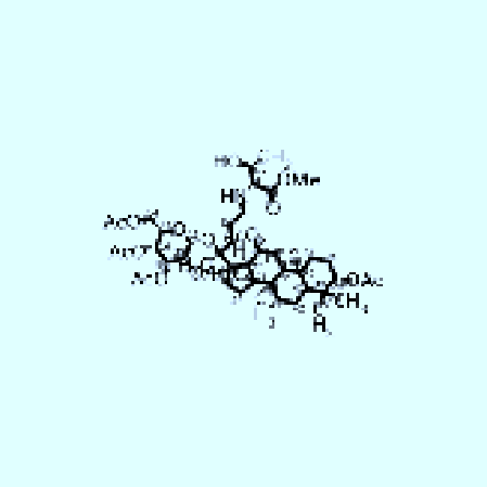 COC(=O)[C@H](NCCC[C@](C)(O[C@H]1O[C@H](COC(C)=O)[C@@H](OC(C)=O)[C@H](OC(C)=O)[C@H]1OC(C)=O)C1CC[C@]2(C)[C@@H]1C(OC(C)=O)CC1[C@@]3(C)CC[C@H](OC(C)=O)C(C)(C)C3CC[C@]12C)[C@@H](C)O